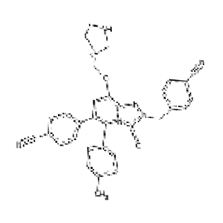 Cc1ccc(-c2c(-c3ccc(C#N)cc3)cc(OC[C@@H]3CCNC3)c3nn(Cc4ccc(C#N)cc4)c(=O)n23)cc1